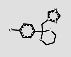 Clc1ccc(C2(Cn3cncn3)OCCCO2)cc1